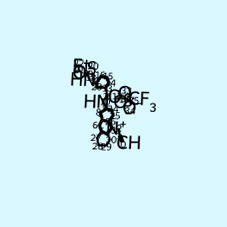 C#CC[n+]1c2c(cc3cc(NC(=O)c4cccc(NC(=S)OCC)c4)ccc31)CCCC2.O=S(=O)([O-])C(F)(F)F